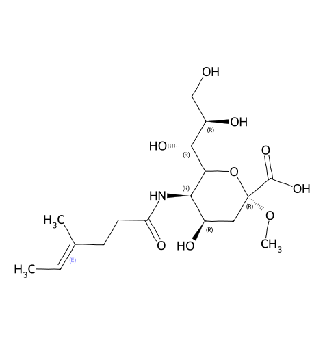 C/C=C(\C)CCC(=O)N[C@H]1C([C@H](O)[C@H](O)CO)O[C@@](OC)(C(=O)O)C[C@H]1O